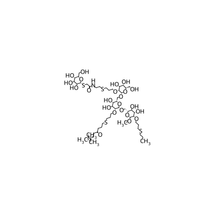 CCCSCCCO[C@H]1[C@@H](OC)O[C@H](CO[C@H]2O[C@H](CO[C@H]3O[C@H](CO)[C@@H](O)[C@H](O)[C@H]3OCCCSCCNC(=O)CS[C@H]3OC(CO)[C@@H](O)[C@H](O)C3O)[C@@H](O)[C@H](O)[C@H]2OCCCSCCCC(=O)CC[N+](C)(C)C)[C@@H](O)[C@@H]1O